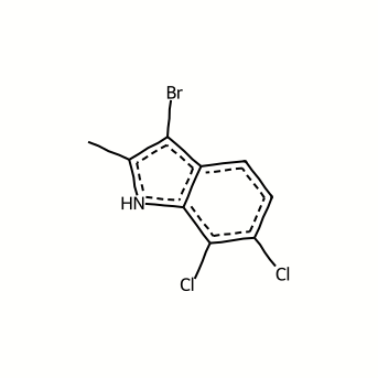 Cc1[nH]c2c(Cl)c(Cl)ccc2c1Br